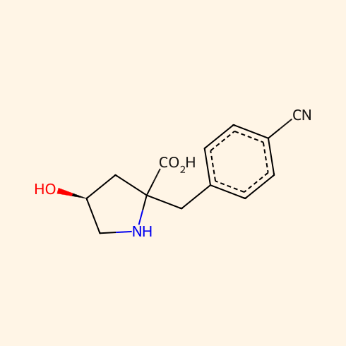 N#Cc1ccc(CC2(C(=O)O)C[C@H](O)CN2)cc1